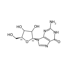 Nc1nc2c(ncn2[C@H]2O[C@@H](CO)C(O)C2O)c(=O)[nH]1